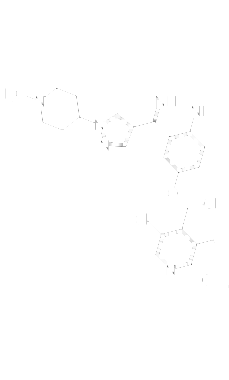 Cc1ncc(Cl)c([C@@H](C)Oc2ccc(N)c(C(=N)c3cnn(C4CCN(C)CC4)c3)c2)c1Cl